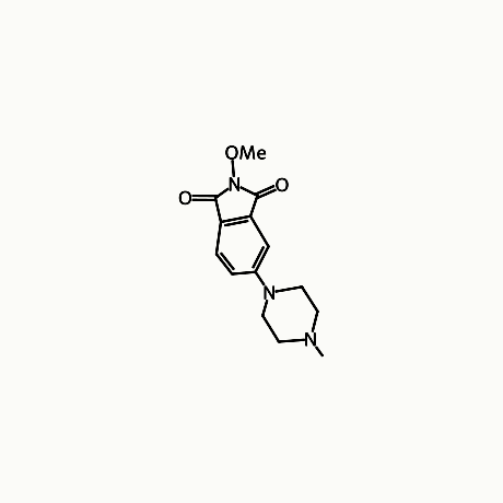 CON1C(=O)c2ccc(N3CCN(C)CC3)cc2C1=O